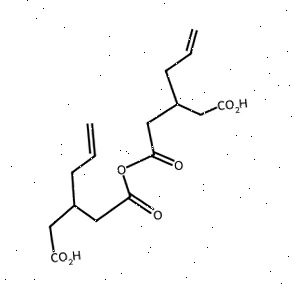 C=CCC(CC(=O)O)CC(=O)OC(=O)CC(CC=C)CC(=O)O